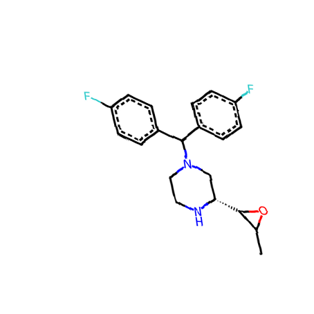 CC1OC1[C@H]1CN(C(c2ccc(F)cc2)c2ccc(F)cc2)CCN1